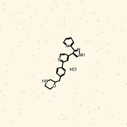 Cl.c1ccc(-c2n[nH]cc2-c2ccnc(-c3ccc(CC4CNCCO4)cc3)c2)nc1